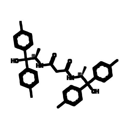 Cc1ccc(C(O)(c2ccc(C)cc2)[C@@H](C)NC(=O)CC(=O)N[C@H](C)C(O)(c2ccc(C)cc2)c2ccc(C)cc2)cc1